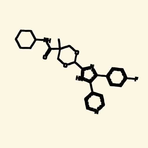 CC1(C(=O)NC2CCCCC2)COC(c2nc(-c3ccc(F)cc3)c(-c3ccncc3)[nH]2)OC1